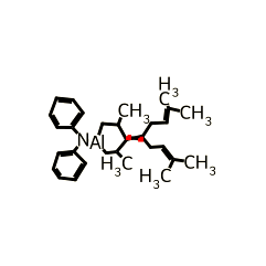 CC(C)=CCCCC(C)[CH2][Al]([CH2]C(C)CCCC=C(C)C)[N](c1ccccc1)c1ccccc1